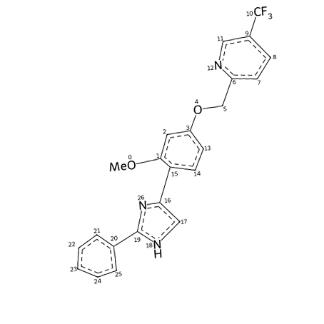 COc1cc(OCc2ccc(C(F)(F)F)cn2)ccc1-c1c[nH]c(-c2ccccc2)n1